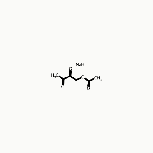 CC(=O)OCC(=O)C(C)=O.[NaH]